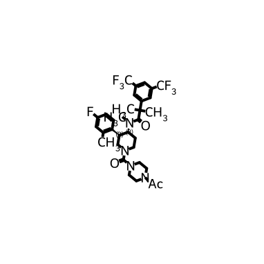 CC(=O)N1CCN(C(=O)N2CC[C@@H](N(C)C(=O)C(C)(C)c3cc(C(F)(F)F)cc(C(F)(F)F)c3)[C@H](c3ccc(F)cc3C)C2)CC1